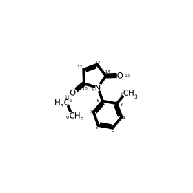 CC.Cc1ccccc1N1C(=O)C=CC1=O